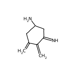 C=C1CC(N)CC(=N)C1=C